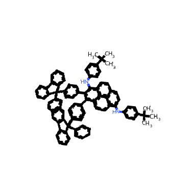 CC(C)(C)c1ccc(Nc2ccc3ccc4c(Nc5ccc(C(C)(C)C)cc5)c(-c5ccc(C6(c7ccccc7)c7ccccc7-c7ccccc76)cc5)c(-c5ccc(C6(c7ccccc7)c7ccccc7-c7ccccc76)cc5)c5ccc2c3c45)cc1